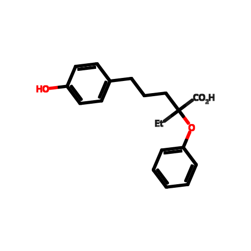 CCC(CCCc1ccc(O)cc1)(Oc1ccccc1)C(=O)O